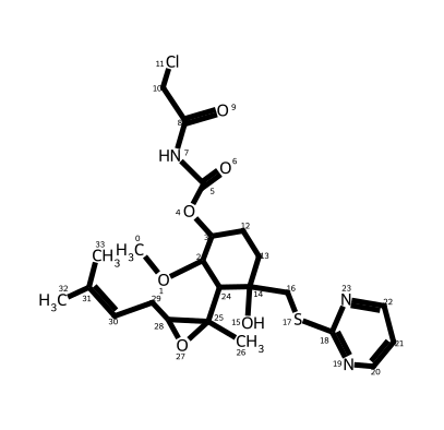 COC1C(OC(=O)NC(=O)CCl)CCC(O)(CSc2ncccn2)C1C1(C)OC1CC=C(C)C